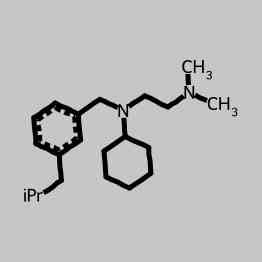 CC(C)Cc1cccc(CN(CCN(C)C)C2CCCCC2)c1